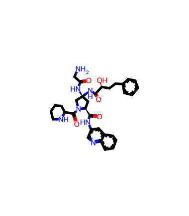 NCC(=O)N[C@@]1(NC(=O)[C@H](O)CCc2ccccc2)C[C@@H](C(=O)Nc2cnc3ccccc3c2)N(C(=O)C2CCCCN2)C1